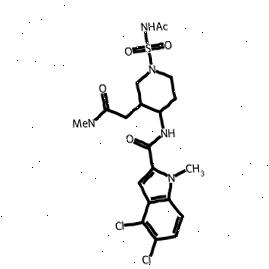 CNC(=O)CC1CN(S(=O)(=O)NC(C)=O)CCC1NC(=O)c1cc2c(Cl)c(Cl)ccc2n1C